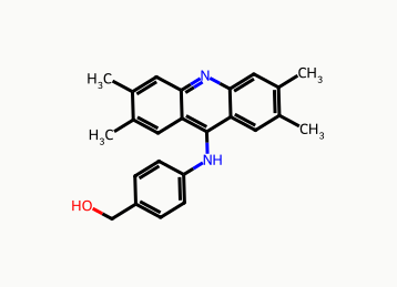 Cc1cc2nc3cc(C)c(C)cc3c(Nc3ccc(CO)cc3)c2cc1C